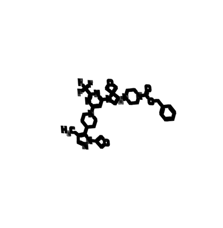 Cc1cnn(C2COC2)c1C1CCN(c2cc(N3C[C@@H](N4CCN(C(=O)OCc5ccccc5)CC4)C34COC4)nc(C(F)(F)F)n2)CC1